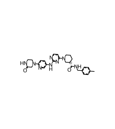 Cc1ccc(CNC(=O)[C@H]2CCCN(c3ccnc(Nc4ccc(N5CCNC(=O)C5)nc4)n3)C2)cc1